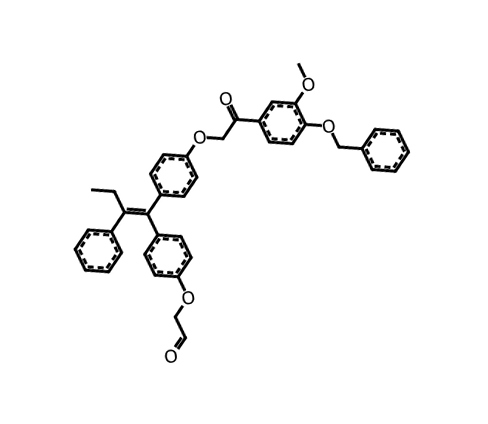 CCC(=C(c1ccc(OCC=O)cc1)c1ccc(OCC(=O)c2ccc(OCc3ccccc3)c(OC)c2)cc1)c1ccccc1